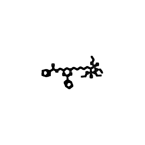 CCOP(=O)(OCC)C(CCCCCSCC(COC(=O)C1CC2C=CC1C2)OC(=O)C1CC2C=CC1C2)P(=O)(OCC)OCC